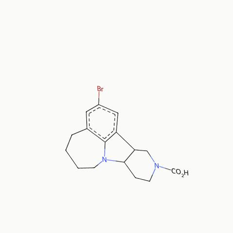 O=C(O)N1CCC2C(C1)c1cc(Br)cc3c1N2CCCC3